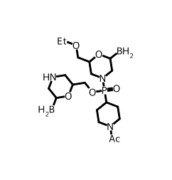 BC1CNCC(COP(=O)(C2CCN(C(C)=O)CC2)N2CC(B)OC(COCC)C2)O1